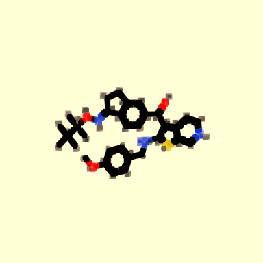 COc1ccc(CNc2sc3cnccc3c2C(=O)c2ccc3c(c2)CCC3=NO[Si](C)(C)C(C)(C)C)cc1